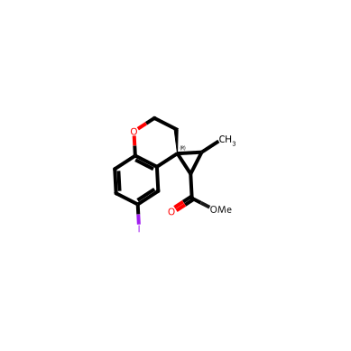 COC(=O)C1C(C)[C@]12CCOc1ccc(I)cc12